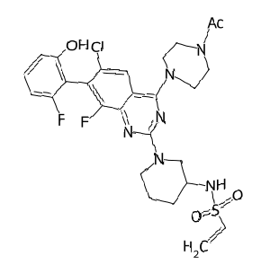 C=CS(=O)(=O)NC1CCCN(c2nc(N3CCN(C(C)=O)CC3)c3cc(Cl)c(-c4c(O)cccc4F)c(F)c3n2)C1